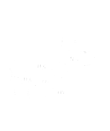 CCCC1=CCC(C)(c2cccc3c2-c2ccccc2C3)C=C1c1ccc(-n2c3ccccc3c3ccccc32)cc1C